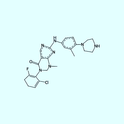 Cc1cc(Nc2ncc3c(n2)N(C)CN(C2=C(F)CCC=C2Cl)C3=O)ccc1N1CCNCC1